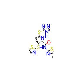 Cc1csc(NC(=O)c2nc(Sc3nnc[nH]3)ccc2Sc2nccs2)n1